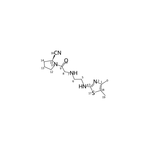 Cc1nc(NCCNCC(=O)N2CCC[C@H]2C#N)sc1C